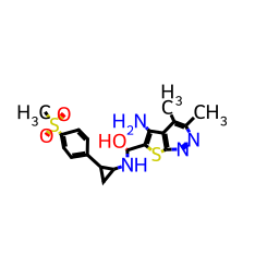 Cc1nnc2sc(C(O)NC3CC3c3ccc(S(C)(=O)=O)cc3)c(N)c2c1C